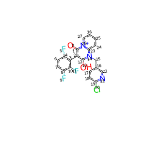 O=c1c(-c2c(F)ccc(F)c2F)c(O)n(Cc2ccc(Cl)nc2)c2cccc[n+]12